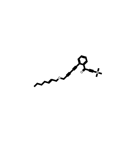 CCCC/C=C/COCC#CC#Cc1ccccc1C(=O)C#C[Si](C)(C)C